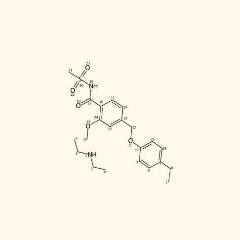 CCNCC.CCc1ccc(OCc2ccc(C(=O)NS(C)(=O)=O)c(OC)c2)cc1